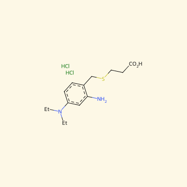 CCN(CC)c1ccc(CSCCC(=O)O)c(N)c1.Cl.Cl